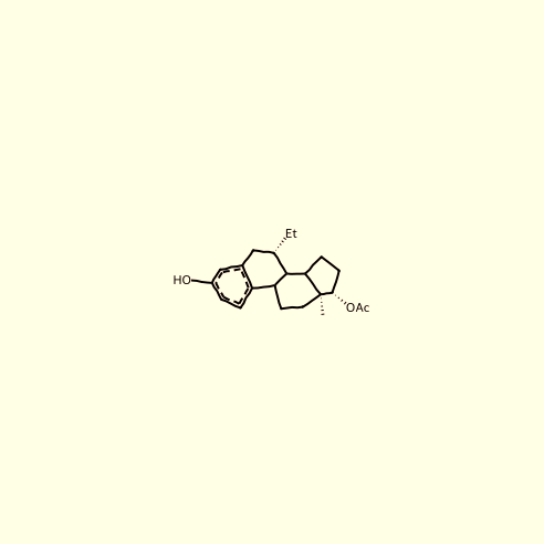 CC[C@H]1Cc2cc(O)ccc2C2CC[C@@]3(C)C(CC[C@@H]3OC(C)=O)C21